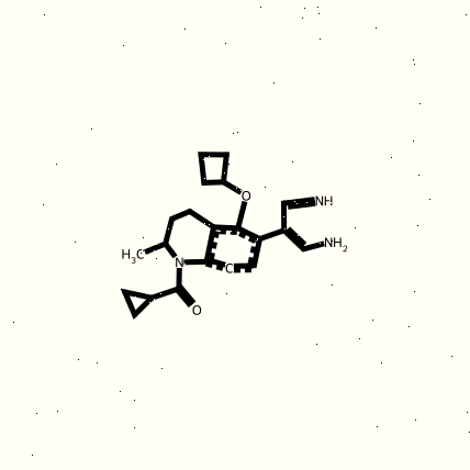 CC1CCc2c(ccc(/C(C=N)=C/N)c2OC2CCC2)N1C(=O)C1CC1